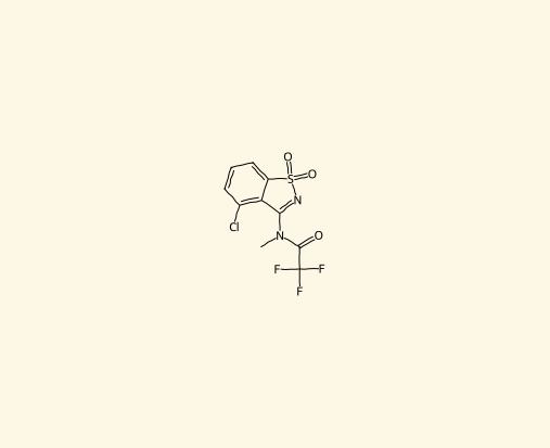 CN(C(=O)C(F)(F)F)C1=NS(=O)(=O)c2cccc(Cl)c21